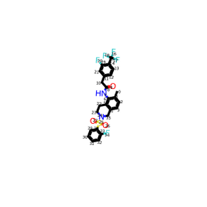 Cc1ccc2c(c1NC(=O)Cc1ccc(C(F)(F)F)c(F)c1)CCN(S(=O)(=O)c1ccccc1F)C2